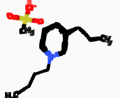 CCCC[n+]1cccc(CCC)c1.CS(=O)(=O)[O-]